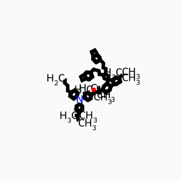 C=CCCCc1ccc(N(c2ccc(C(C)(C)CC)cc2)c2ccc(C(C)(CC)C(C)(CC)c3ccc4c(c3)C(CCCCCc3ccc5c(c3)CC5)(CCCCCc3ccc5c(c3)CC5)c3cc(C(C)(C)C)ccc3-4)cc2)cc1